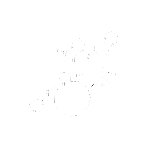 CC(C)n1c(O[C@@H]2C[C@H]3C(=O)N[C@]4(C(=O)NS(=O)(=O)C5(C)CC5)C[C@H]4/C=C\CCCCC[C@H](Nc4ccccc4)C(=O)N3C2)nc2c(C(=O)NCCc3ccccc3)cccc21